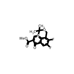 COC(=O)c1cn2c3c(c(F)c(F)cc3c1=O)COC2(C)C